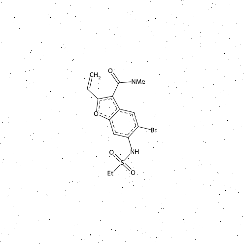 C=Cc1oc2cc(NS(=O)(=O)CC)c(Br)cc2c1C(=O)NC